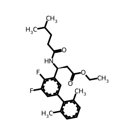 CCOC(=O)C[C@H](NC(=O)CCC(C)C)c1cc(-c2c(C)cccc2C)cc(F)c1F